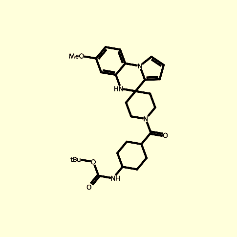 COc1ccc2c(c1)NC1(CCN(C(=O)C3CCC(NC(=O)OC(C)(C)C)CC3)CC1)c1cccn1-2